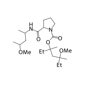 CCC(C)(CC(C)(CC)OC(=O)N1CCCC1C(=O)NC(C)CC(C)OC)OC